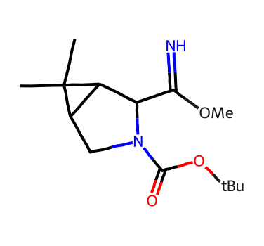 COC(=N)C1C2C(CN1C(=O)OC(C)(C)C)C2(C)C